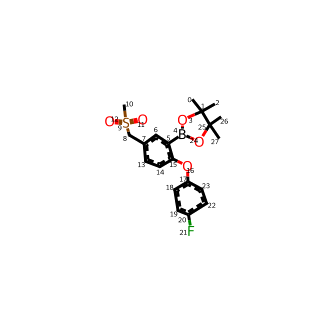 CC1(C)OB(c2cc(CS(C)(=O)=O)ccc2Oc2ccc(F)cc2)OC1(C)C